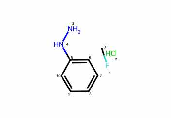 CF.Cl.NNc1ccccc1